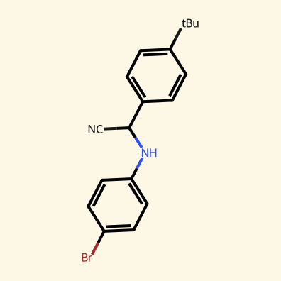 CC(C)(C)c1ccc(C(C#N)Nc2ccc(Br)cc2)cc1